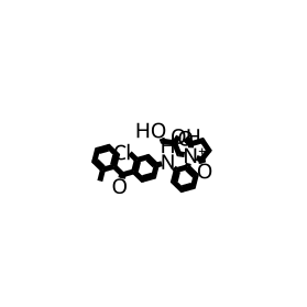 Cc1ccccc1C(=O)c1ccc(Nc2ccccc2[N+]2(CC(O)CO)C(=O)CCC2=O)cc1Cl